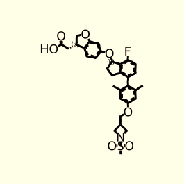 Cc1cc(OCC2CN(S(C)(=O)=O)C2)cc(C)c1-c1ccc(F)c2c1CC[C@H]2Oc1ccc2c(c1)OC[C@H]2CC(=O)O